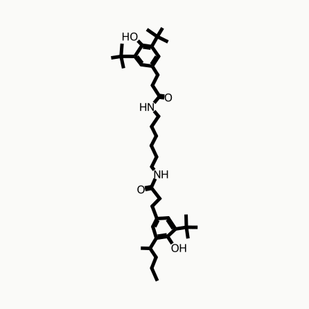 CCCC(C)c1cc(CCC(=O)NCCCCCCNC(=O)CCc2cc(C(C)(C)C)c(O)c(C(C)(C)C)c2)cc(C(C)(C)C)c1O